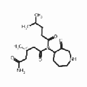 CC(C)CCC(=O)N(C(=O)C[C@@H](C)CC(N)=O)C1CCCNCC1=O